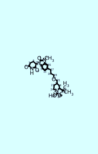 Cn1c(=O)n(C2CCC(=O)NC2=O)c2ccc(CCCOCC3CCN(C(=O)O)C(C(C)(C)C)C3)cc21